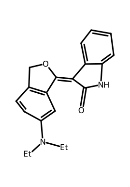 CCN(CC)c1ccc2c(c1)C(=C1C(=O)Nc3ccccc31)OC2